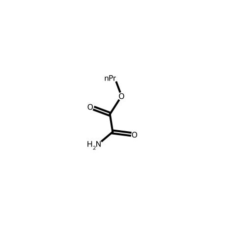 CCCOC(=O)C(N)=O